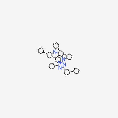 c1ccc(-c2cccc(-c3nc(-c4ccccc4)nc(-n4c5ccccc5c5cc6c7ccccc7n(-c7cc(-c8ccccc8)ccc7-c7ccccc7)c6cc54)n3)c2)cc1